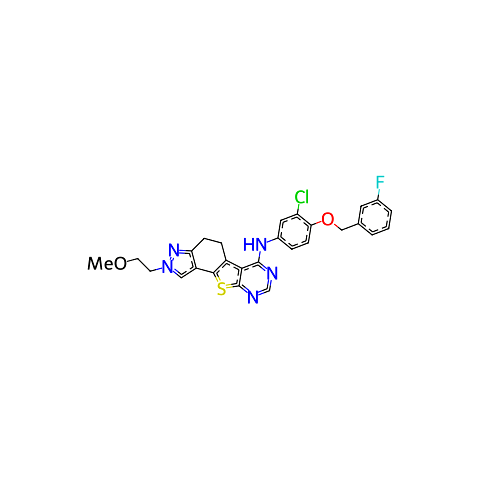 COCCn1cc2c(n1)CCc1c-2sc2ncnc(Nc3ccc(OCc4cccc(F)c4)c(Cl)c3)c12